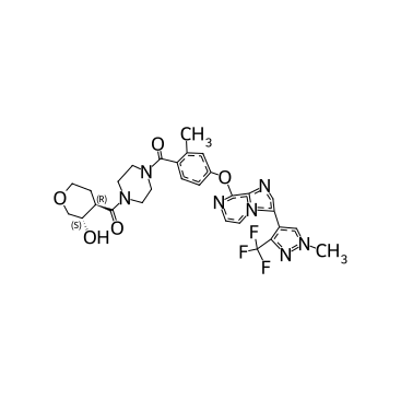 Cc1cc(Oc2nccn3c(-c4cn(C)nc4C(F)(F)F)cnc23)ccc1C(=O)N1CCN(C(=O)[C@@H]2CCOC[C@H]2O)CC1